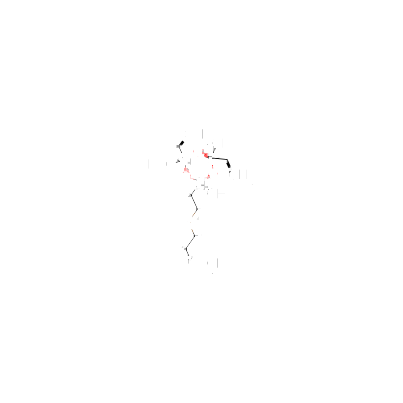 C=C[Si]1(C)O[Si](C)(C=C)O[Si](C)(CCSCCC(=O)O)O1